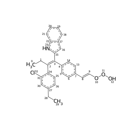 CC/C(=C(/c1ccc(/C=C/OOO)cc1)c1cc2ccccc2[nH]1)c1ccc(CC)cc1Cl